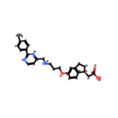 Cc1ccc(-c2nccc(CNCCCOc3ccc4c(c3)CC[C@H]4CC(=O)O)n2)cc1